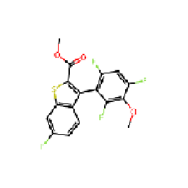 COC(=O)c1sc2cc(F)ccc2c1-c1c(F)cc(F)c(OC)c1F